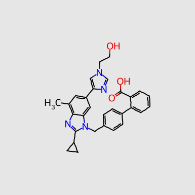 Cc1cc(-c2cn(CCO)cn2)cc2c1nc(C1CC1)n2Cc1ccc(-c2ccccc2C(=O)O)cc1